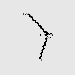 CCCCCCCCCCCCCCC(C)(C)[NH+]([O-])CCCCCCCCCCCC